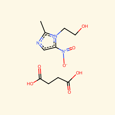 Cc1ncc([N+](=O)[O-])n1CCO.O=C(O)CCC(=O)O